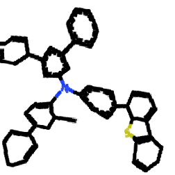 CC1CC(C2=CCCC=C2)=CC=C1N(c1ccc(C2C=CC=C3C4=C(C=CCC4)SC32)cc1)c1cc(-c2ccccc2)cc(C2C=CC=CC2)c1